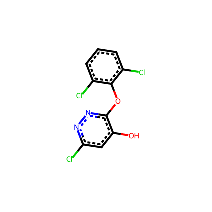 Oc1cc(Cl)nnc1Oc1c(Cl)cccc1Cl